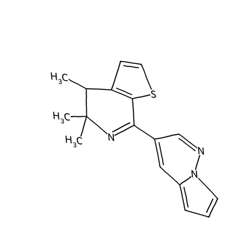 CC1c2ccsc2C(c2cnn3cccc3c2)=NC1(C)C